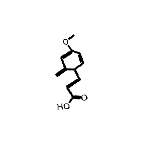 C=C1C=C(OC)C=CC1C=CC(=O)O